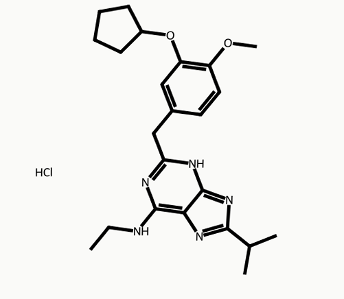 CCNc1nc(Cc2ccc(OC)c(OC3CCCC3)c2)[nH]c2nc(C(C)C)nc1-2.Cl